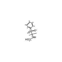 CC(C)(NC(=O)O)S(=O)(=O)c1ccccc1